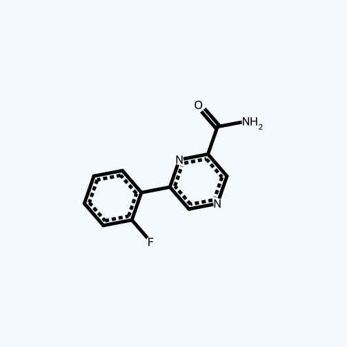 NC(=O)c1cncc(-c2ccccc2F)n1